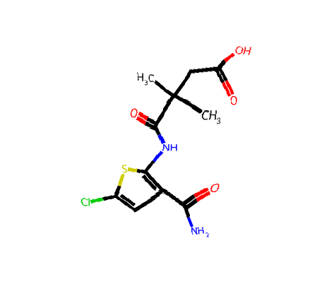 CC(C)(CC(=O)O)C(=O)Nc1sc(Cl)cc1C(N)=O